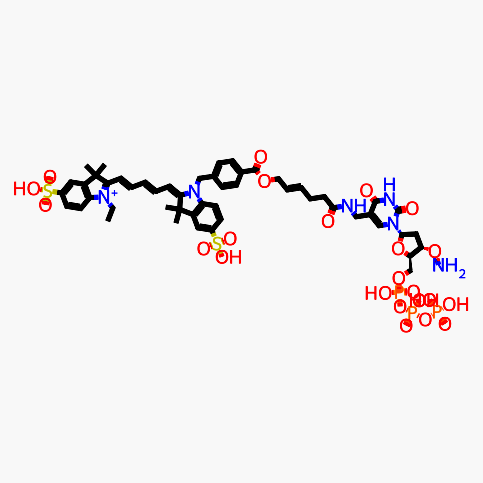 CC[N+]1=C(/C=C/C=C/C=C2/N(Cc3ccc(C(=O)OC/C=C/CCC(=O)NCc4cn([C@H]5C[C@@H](ON)[C@@H](COP(=O)(O)OP(=O)(O)OP(=O)(O)O)O5)c(=O)[nH]c4=O)cc3)c3ccc(S(=O)(=O)O)cc3C2(C)C)C(C)(C)c2cc(S(=O)(=O)O)ccc21